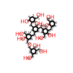 OCc1ccc(O)c(Cc2cc(Cc3cc(CO)c(O)c(COCc4cc(CO)cc(CO)c4O)c3)cc(Cc3cc(CO)c(O)c(Cc4cccc(CO)c4O)c3)c2O)c1